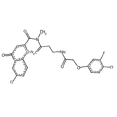 C=C(CCNC(=O)COc1ccc(Cl)c(F)c1)N(C)C(=O)c1cc(=O)c2cc(Cl)ccc2o1